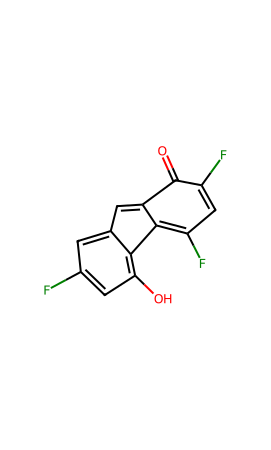 O=C1C(F)=CC(F)=C2C1=Cc1cc(F)cc(O)c12